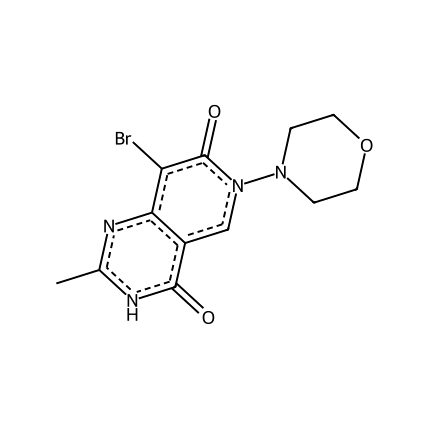 Cc1nc2c(Br)c(=O)n(N3CCOCC3)cc2c(=O)[nH]1